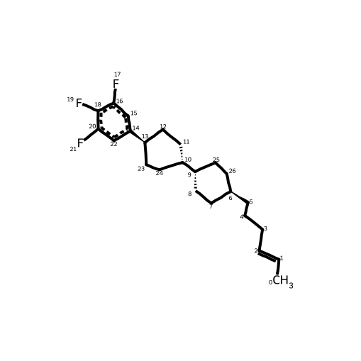 C/C=C/CCC[C@H]1CC[C@H]([C@H]2CC[C@H](c3cc(F)c(F)c(F)c3)CC2)CC1